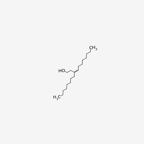 CCCCCCCC=C(CCO)CCCCCCCC